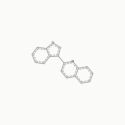 [c]1oc2ccccc2c1-c1ccc2ccccc2n1